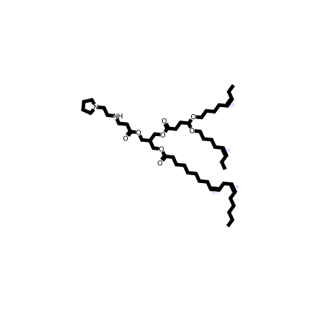 CC/C=C\CCCCOC(CCC(=O)OCC(COC(=O)CCCCCCC/C=C\C/C=C\CCCCC)COC(=O)CCNCCN1CCCC1)OCCCC/C=C\CC